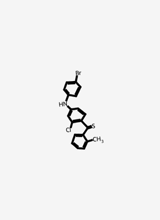 Cc1ccccc1C(=S)c1ccc(Nc2ccc(Br)cc2)cc1Cl